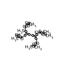 C=C(COC(=O)CCc1ccc(N(c2ccc(-c3ccc(N(c4ccc(CCC(=O)OCC(=C)C(=O)OCC)cc4)c4ccc(CCC(=O)OCC(=C)C(=O)OCC)c(C)c4)cc3)cc2)c2ccc(CCC(=O)OCC(=C)C(=O)OC)c(C)c2)cc1)C(=O)OC